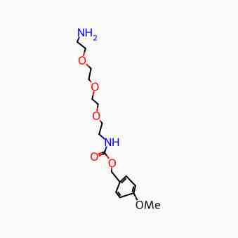 COc1ccc(COC(=O)NCCOCCOCCOCCN)cc1